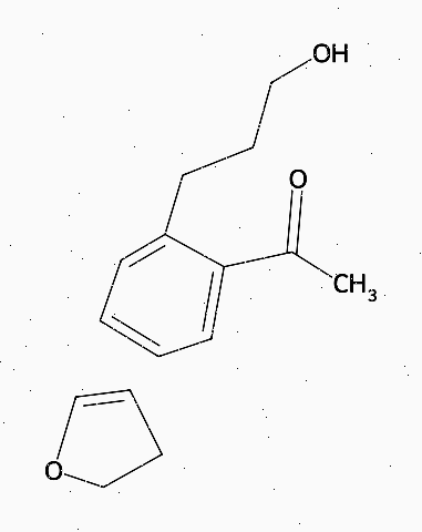 C1=COCC1.CC(=O)c1ccccc1CCCO